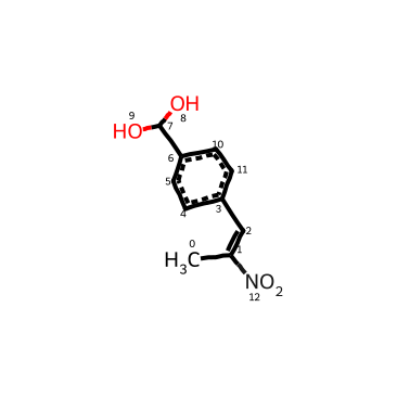 CC(=Cc1ccc(C(O)O)cc1)[N+](=O)[O-]